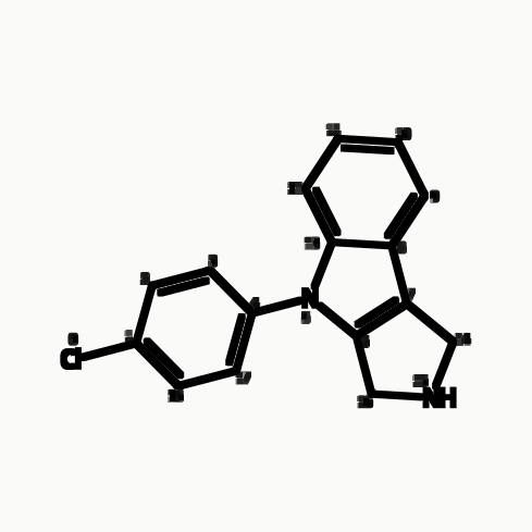 Clc1ccc(-n2c3c(c4ccccc42)CNC3)cc1